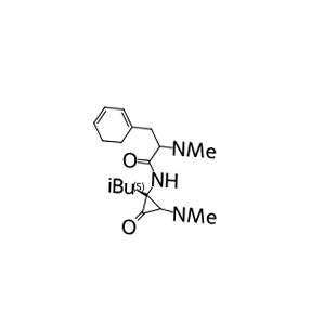 CC[C@H](C)C1(NC(=O)C(CC2=CC=CCC2)NC)C(=O)C1NC